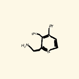 CC(C)c1ccnc(CN)c1C(C)C